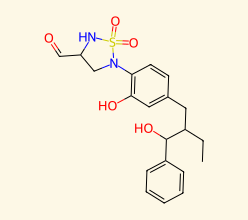 CCC(Cc1ccc(N2CC(C=O)NS2(=O)=O)c(O)c1)C(O)c1ccccc1